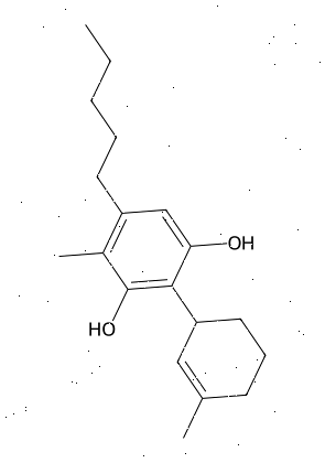 CCCCCc1cc(O)c(C2C=C(C)CCC2)c(O)c1C